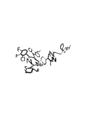 CCOC(=O)C1=C([C@H]2CC[C@H](c3cn(CCC(=O)O)nc3C)CC2)NC(c2nccs2)=NC1c1ccc(F)c(F)c1Cl